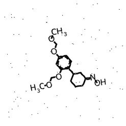 COCOc1ccc(C2CCCC(=NO)C2)c(OCOC)c1